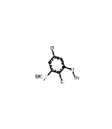 CCOC(=O)c1cc(Cl)cc(OC(C)C)c1Cl